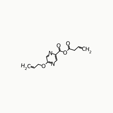 C=CCOc1cnc(C(=O)OC(=O)CC=C)cn1